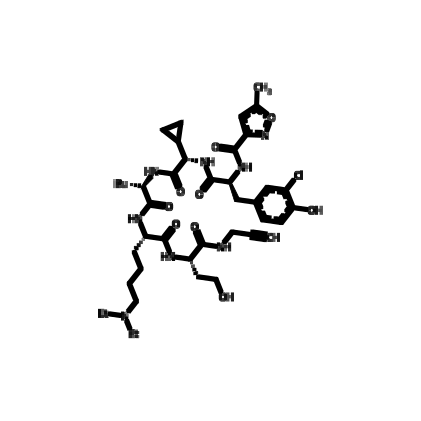 C#CCNC(=O)[C@H](CCO)NC(=O)[C@H](CCCCN(CC)CC)NC(=O)[C@H](NC(=O)[C@@H](NC(=O)[C@H](Cc1ccc(O)c(Cl)c1)NC(=O)c1cc(C)on1)C1CC1)[C@@H](C)CC